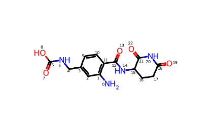 Nc1cc(CNC(=O)O)ccc1C(=O)NC1CCC(=O)NC1=O